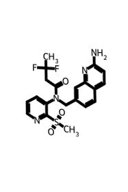 CC(F)(F)CC(=O)N(Cc1ccc2ccc(N)nc2c1)c1cccnc1S(C)(=O)=O